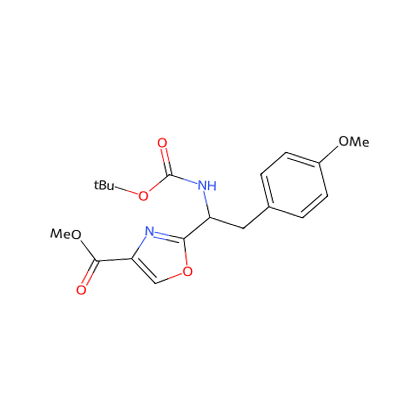 COC(=O)c1coc(C(Cc2ccc(OC)cc2)NC(=O)OC(C)(C)C)n1